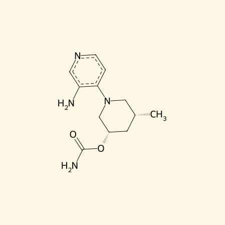 C[C@@H]1C[C@H](OC(N)=O)CN(c2ccncc2N)C1